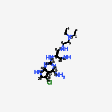 CCN(CC)CCN/C=C(\C=N)Nc1nc(N)c2c(Cl)c[nH]c2n1